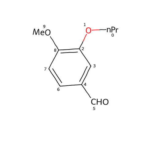 CCCOc1cc(C=O)ccc1OC